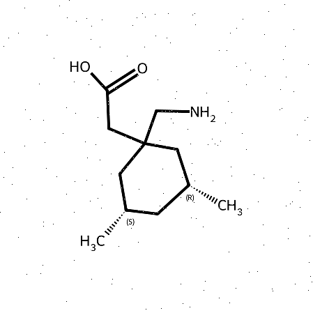 C[C@@H]1C[C@H](C)CC(CN)(CC(=O)O)C1